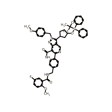 COc1ccc(Cn2nc3c(C(N)=O)c(-c4ccc(CNC(=O)c5cc(F)ccc5OC)cc4)ncc3c2C2CCC(O[Si](c3ccccc3)(c3ccccc3)C(C)(C)C)C2)cc1